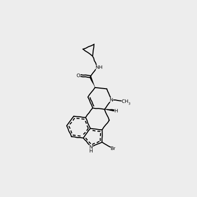 CN1C[C@H](C(=O)NC2CC2)C=C2c3cccc4[nH]c(Br)c(c34)C[C@H]21